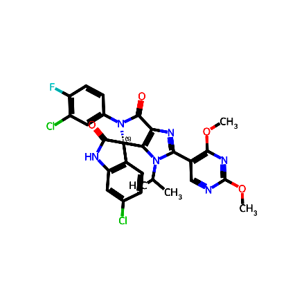 COc1ncc(-c2nc3c(n2C(C)C)[C@@]2(C(=O)Nc4cc(Cl)ccc42)N(c2ccc(F)c(Cl)c2)C3=O)c(OC)n1